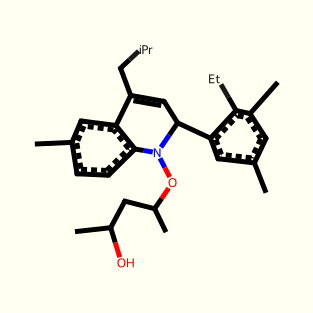 CCc1c(C)cc(C)cc1C1C=C(CC(C)C)c2cc(C)ccc2N1OC(C)CC(C)O